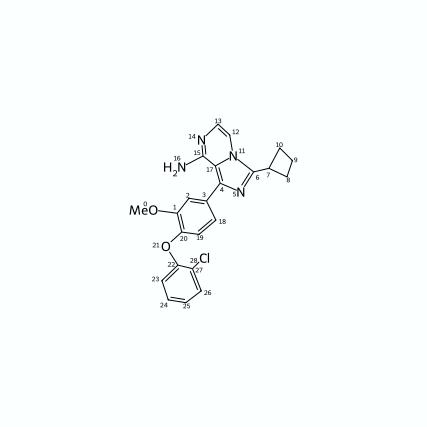 COc1cc(-c2nc(C3CCC3)n3ccnc(N)c23)ccc1Oc1ccccc1Cl